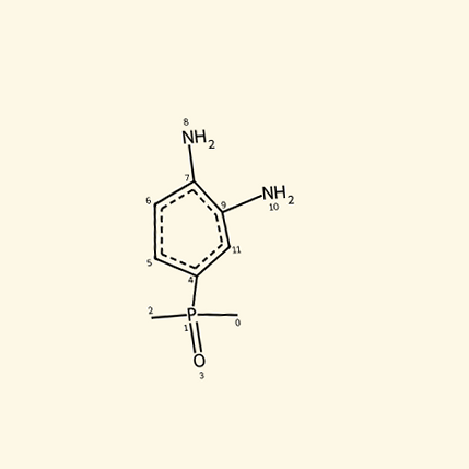 CP(C)(=O)c1ccc(N)c(N)c1